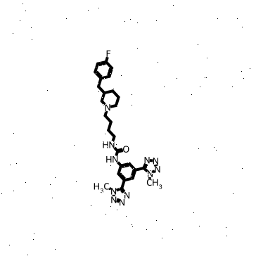 Cn1nnnc1-c1cc(NC(=O)NCCCCN2CCCC(Cc3ccc(F)cc3)C2)cc(-c2nnnn2C)c1